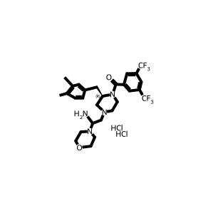 Cc1ccc(C[C@@H]2CN(CC(N)N3CCOCC3)CCN2C(=O)c2cc(C(F)(F)F)cc(C(F)(F)F)c2)cc1C.Cl.Cl